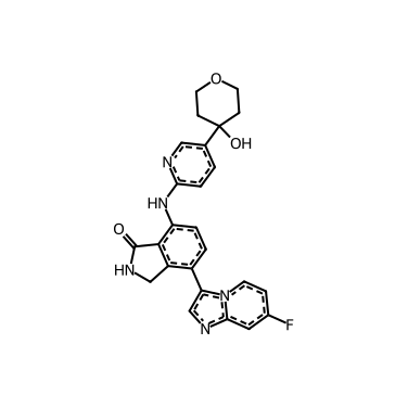 O=C1NCc2c(-c3cnc4cc(F)ccn34)ccc(Nc3ccc(C4(O)CCOCC4)cn3)c21